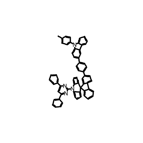 Cc1ccc(-n2c3ccccc3c3cc(-c4ccc(-c5ccc6c(c5)C5(c7ccccc7-6)c6ccccc6N(c6nc(-c7ccccc7)cc(-c7ccccc7)n6)c6ccccc65)cc4)ccc32)cc1